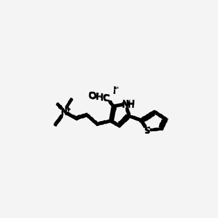 C[N+](C)(C)CCCc1cc(-c2cccs2)[nH]c1C=O.[I-]